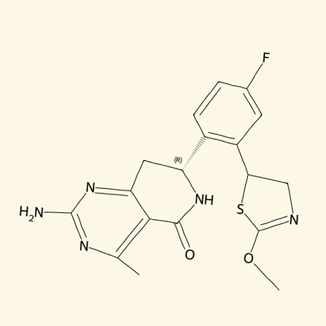 COC1=NCC(c2cc(F)ccc2[C@H]2Cc3nc(N)nc(C)c3C(=O)N2)S1